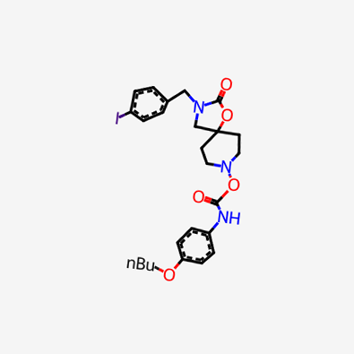 CCCCOc1ccc(NC(=O)ON2CCC3(CC2)CN(Cc2ccc(I)cc2)C(=O)O3)cc1